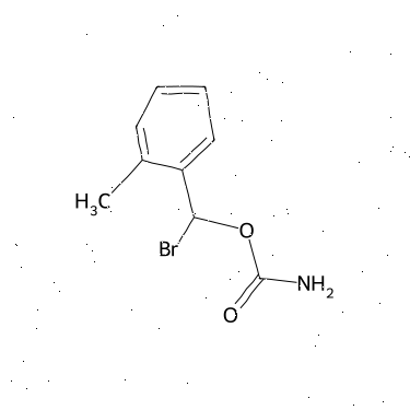 Cc1ccccc1C(Br)OC(N)=O